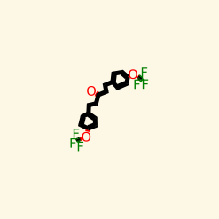 O=C(CCc1ccc(OC(F)(F)F)cc1)CCc1ccc(OC(F)(F)F)cc1